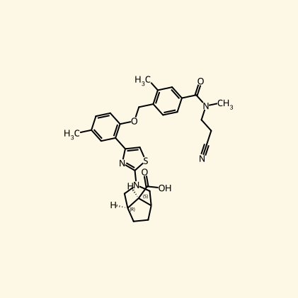 Cc1ccc(OCc2ccc(C(=O)N(C)CCC#N)cc2C)c(-c2csc(N3CC4CC[C@@H](C3)[C@H]4C(=O)O)n2)c1